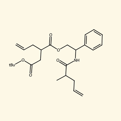 C=CCC(C)C(=O)NC(COC(=O)C(CC=C)CC(=O)OC(C)(C)C)c1ccccc1